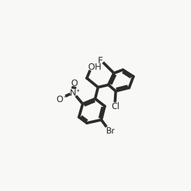 O=[N+]([O-])c1ccc(Br)cc1C(CO)c1c(F)cccc1Cl